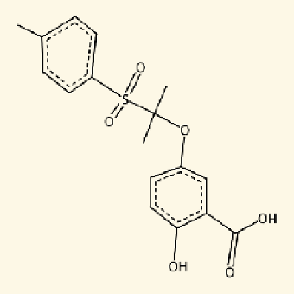 Cc1ccc(S(=O)(=O)C(C)(C)Oc2ccc(O)c(C(=O)O)c2)cc1